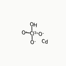 [Cd].[O-][Cl+3]([O-])([O-])O